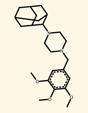 COc1cc(CN2CCN(C3C4CC5CC(C4)CC3C5)CC2)cc(OC)c1OC